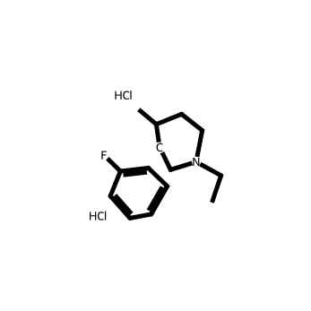 CCN1CCC(C)CC1.Cl.Cl.Fc1ccccc1